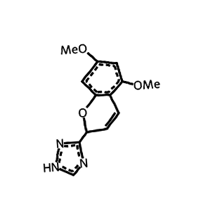 COc1cc(OC)c2c(c1)OC(c1nc[nH]n1)C=C2